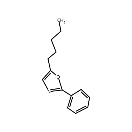 [CH2]CCCCc1cnc(-c2ccccc2)o1